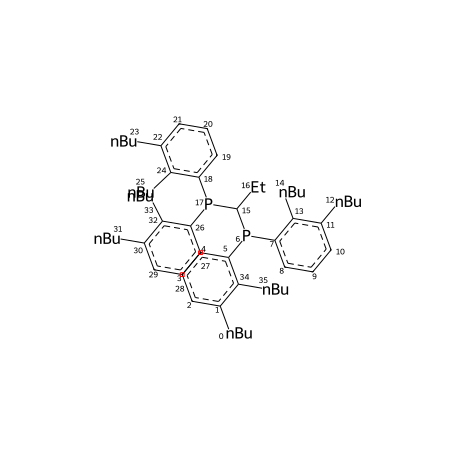 CCCCc1cccc(P(c2cccc(CCCC)c2CCCC)C(CC)P(c2cccc(CCCC)c2CCCC)c2cccc(CCCC)c2CCCC)c1CCCC